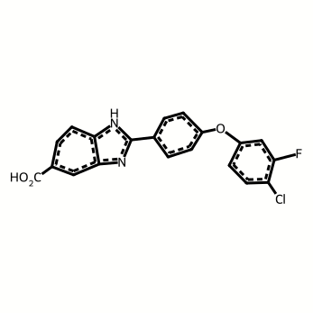 O=C(O)c1ccc2[nH]c(-c3ccc(Oc4ccc(Cl)c(F)c4)cc3)nc2c1